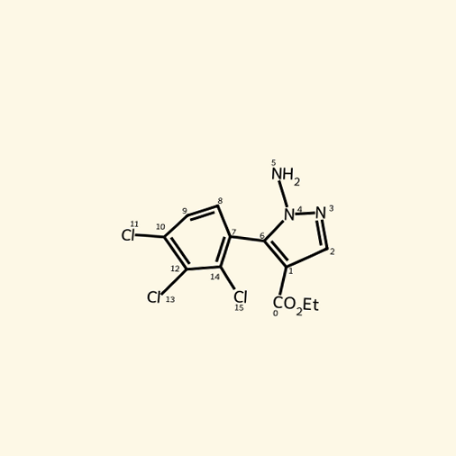 CCOC(=O)c1cnn(N)c1-c1ccc(Cl)c(Cl)c1Cl